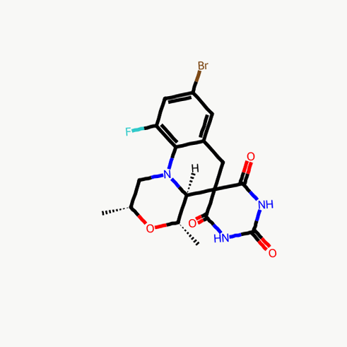 C[C@@H]1CN2c3c(F)cc(Br)cc3CC3(C(=O)NC(=O)NC3=O)[C@H]2[C@H](C)O1